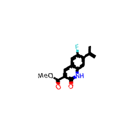 C=C(C)c1cc2[nH]c(=O)c(C(=O)OC)cc2cc1F